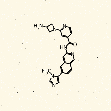 Cn1cncc1-c1ccc2cnc(NC(=O)c3ccnc(N4CC(N)C4)c3)cc2c1